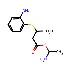 CC(N)OC(=O)CC(Sc1ccccc1N)C(=O)O